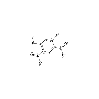 CNc1cc(F)c([N+](=O)[O-])cc1[N+](=O)[O-]